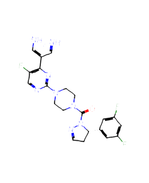 N=C/C(=C\N)c1nc(N2CCN(C(=O)N3N=CC[C@H]3c3cc(F)cc(F)c3)CC2)ncc1F